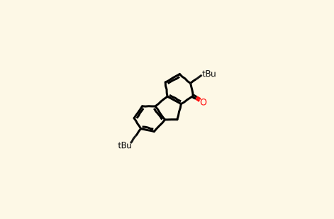 CC(C)(C)c1ccc2c(c1)CC1=C2C=CC(C(C)(C)C)C1=O